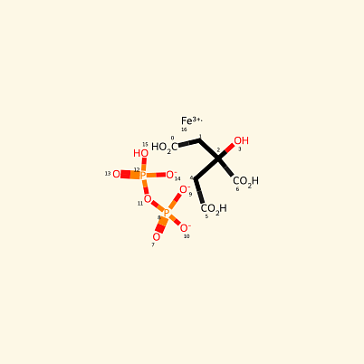 O=C(O)CC(O)(CC(=O)O)C(=O)O.O=P([O-])([O-])OP(=O)([O-])O.[Fe+3]